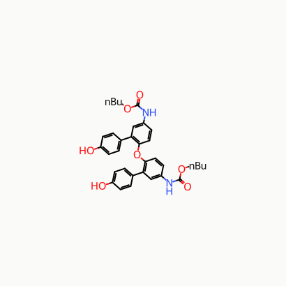 CCCCOC(=O)Nc1ccc(Oc2ccc(NC(=O)OCCCC)cc2-c2ccc(O)cc2)c(-c2ccc(O)cc2)c1